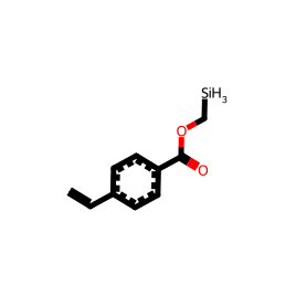 C=Cc1ccc(C(=O)OC[SiH3])cc1